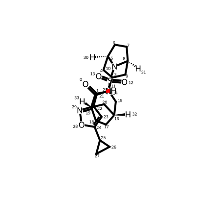 O=C(N[C@H]1C[C@H]2CC[C@@H](C1)N2S(=O)(=O)N1C[C@@H]2CC[C@@H](C2)C1)c1cc(C2CC2)on1